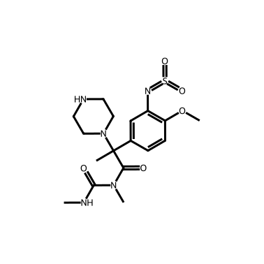 CNC(=O)N(C)C(=O)C(C)(c1ccc(OC)c(N=S(=O)=O)c1)N1CCNCC1